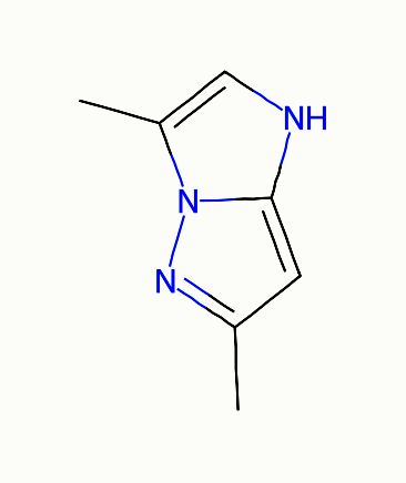 Cc1cc2[nH]cc(C)n2n1